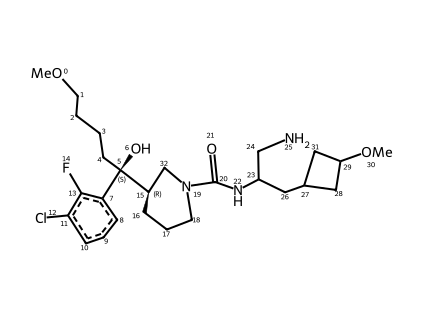 COCCCC[C@@](O)(c1cccc(Cl)c1F)[C@@H]1CCCN(C(=O)NC(CN)CC2CC(OC)C2)C1